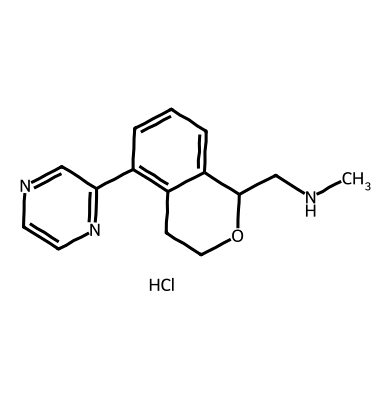 CNCC1OCCc2c(-c3cnccn3)cccc21.Cl